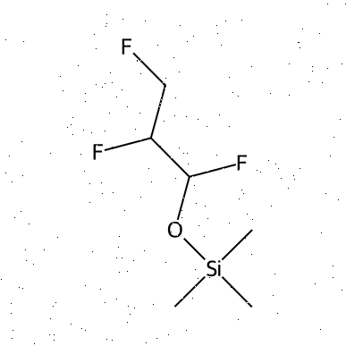 C[Si](C)(C)OC(F)C(F)CF